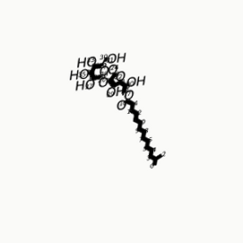 CC(C)CCCCCCCCCCCCC(=O)OC[C@H](O)[C@H]1OC(=O)C(OC2O[C@H](CO)[C@@H](O)[C@H](O)[C@H]2O)=C1O